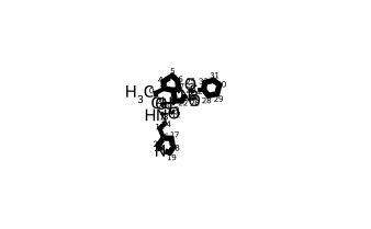 CC(C)c1cccc2c1c(S(=O)(=O)NCCc1cccnc1)cn2S(=O)(=O)c1ccccc1